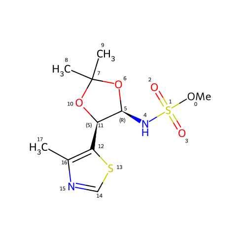 COS(=O)(=O)N[C@@H]1OC(C)(C)O[C@@H]1c1scnc1C